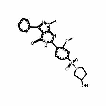 COc1cc(S(=O)(=O)N2CCC(O)C2)ccc1-c1nc2c(c(-c3ccccc3)nn2C)c(=O)[nH]1